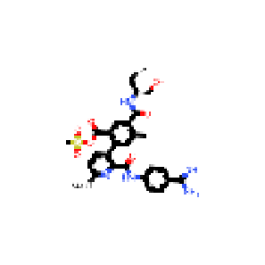 COc1ccc(-c2cc(C)c(C(=O)N[C@H](CO)CC(C)C)cc2C(=O)OS(C)(=O)=O)c(C(=O)Nc2ccc(C(=N)N)cc2)n1